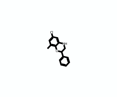 Cc1cc(Cl)cc2c1OC(c1ccccc1)CN2